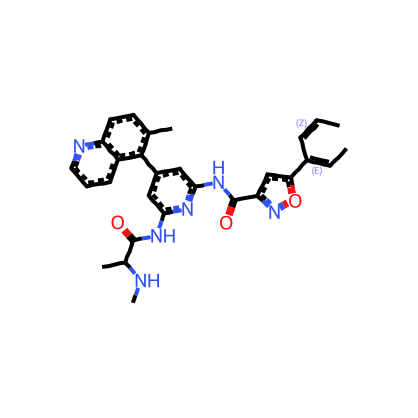 C/C=C\C(=C/C)c1cc(C(=O)Nc2cc(-c3c(C)ccc4ncccc34)cc(NC(=O)C(C)NC)n2)no1